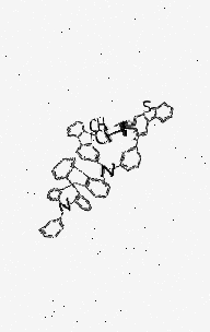 CC1(C)c2ccccc2-c2ccc(N(c3cccc(-c4ccc5sc6ccccc6c5c4)c3)c3cccc4c3-c3ccccc3C43c4ccccc4N(c4ccccc4)c4ccccc43)cc21